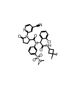 CN(C)S(=O)(=O)c1cccc(N(C(=O)C2CCC(=O)N2c2cc(C#N)ccn2)[C@H](C(=O)NC2CC(F)(F)C2)c2ccccc2Cl)c1